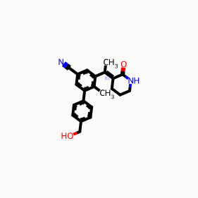 C/C(=C1/CCCNC1=O)c1cc(C#N)cc(-c2ccc(CO)cc2)c1C